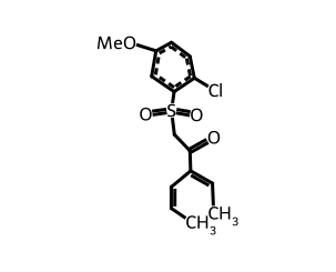 C/C=C\C(=C/C)C(=O)CS(=O)(=O)c1cc(OC)ccc1Cl